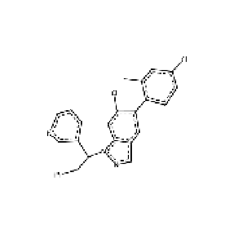 Cc1cc(Cl)ccc1-c1cc2cnn(C(CC(C)C)c3cccnc3)c2cc1Cl